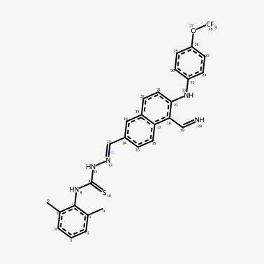 Cc1cccc(C)c1NC(=S)N/N=C/c1ccc2c(C=N)c(Nc3ccc(OC(F)(F)F)cc3)ccc2c1